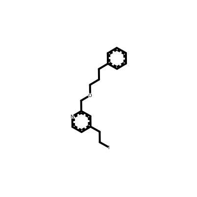 ICCc1ccnc(COCCCc2ccccc2)c1